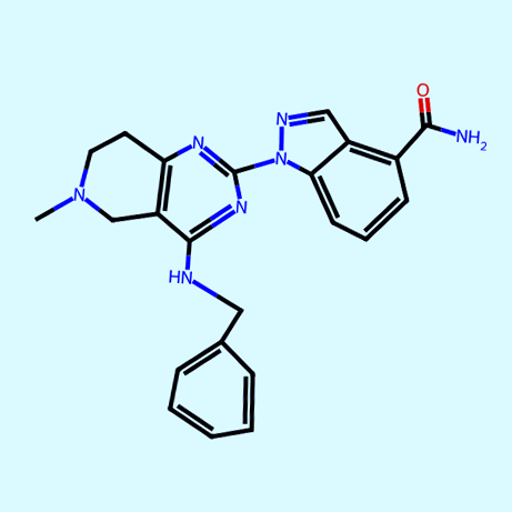 CN1CCc2nc(-n3ncc4c(C(N)=O)cccc43)nc(NCc3ccccc3)c2C1